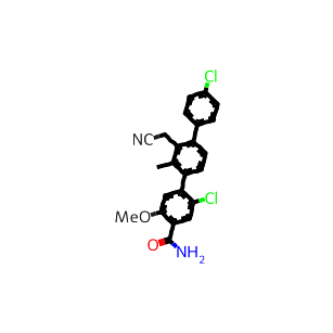 COc1cc(-c2ccc(-c3ccc(Cl)cc3)c(CC#N)c2C)c(Cl)cc1C(N)=O